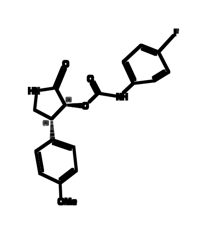 COc1ccc([C@@H]2CNC(=O)[C@H]2OC(=O)Nc2ccc(F)cc2)cc1